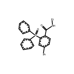 CCNC(=O)c1ccc(C(C)C)cc1P(=O)(c1ccccc1)c1ccccc1